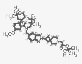 COc1ccc([C@]2(CCN(Cc3ccc4nn(C5CC6(CCN(CC(=O)OC(C)(C)C)CC6)C5)cc4c3)CC(C)(C)C(F)(F)F)CCOC(C)(C)C2)cc1